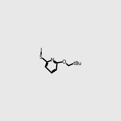 CC(C)(C)COc1cccc(SI)n1